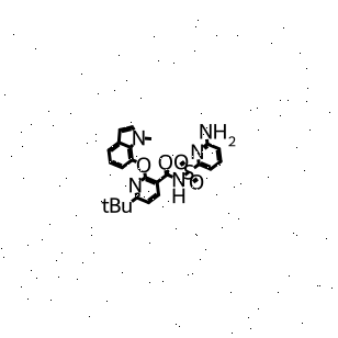 Cn1ccc2cccc(Oc3nc(C(C)(C)C)ccc3C(=O)NS(=O)(=O)c3cccc(N)n3)c21